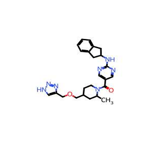 CC1CC(COCc2c[nH]nn2)CCN1C(=O)c1cnc(NC2Cc3ccccc3C2)nc1